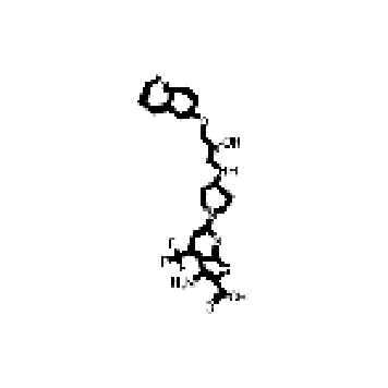 Nc1c(C(=O)O)sc2nc(N3CCC(NC[C@H](O)COc4ccc5ncccc5c4)CC3)cc(C(F)(F)F)c12